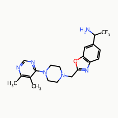 Cc1ncnc(N2CCN(Cc3nc4ccc(C(N)C(F)(F)F)cc4o3)CC2)c1C